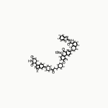 Cc1c(OC2CCC(CCC(=O)N3CCN(c4ccc5c(C6CCC(=O)NC6=O)nn(C)c5c4)CC3)CC2)cccc1-c1ccc(N2CCc3cccc(C(=O)Nc4nc5ccccc5s4)c3C2)nc1C(=O)OC(C)(C)C